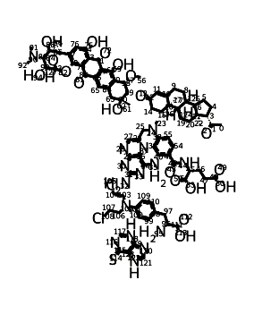 CC(=O)[C@H]1CC[C@H]2[C@@H]3CCC4=CC(=O)CC[C@]4(C)[C@H]3CC[C@]12C.CN(Cc1cnc2nc(N)nc(N)c2n1)c1ccc(C(=O)N[C@@H](CCC(=O)O)C(=O)O)cc1.CO[C@@H]1C[C@](C)(O)Cc2cc3c(c(O)c21)C(=O)c1c(O)cc2c(c1C3=O)O[C@@H]1O[C@@]2(C)[C@H](O)[C@@H](N(C)C)[C@@H]1O.N[C@@H](Cc1ccc(N(CCCl)CCCl)cc1)C(=O)O.S=c1nc[nH]c2nc[nH]c12